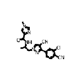 CC(Cn1cc(C#N)c(-c2ccc(C#N)c(Cl)c2)n1)NC(=O)c1cn(C)cn1